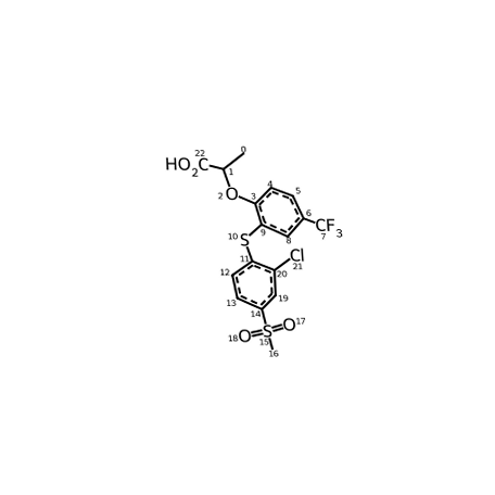 CC(Oc1ccc(C(F)(F)F)cc1Sc1ccc(S(C)(=O)=O)cc1Cl)C(=O)O